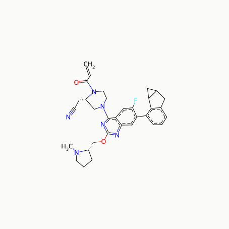 C=CC(=O)N1CCN(c2nc(OC[C@@H]3CCCN3C)nc3cc(-c4cccc5c4C4CC4C5)c(F)cc23)C[C@@H]1CC#N